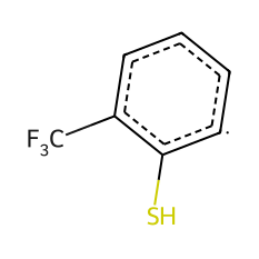 FC(F)(F)c1ccc[c]c1S